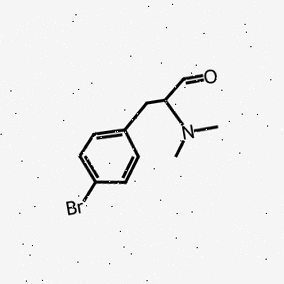 CN(C)C(C=O)Cc1ccc(Br)cc1